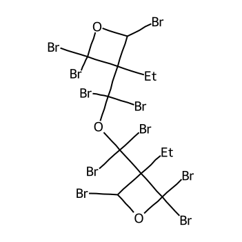 CCC1(C(Br)(Br)OC(Br)(Br)C2(CC)C(Br)OC2(Br)Br)C(Br)OC1(Br)Br